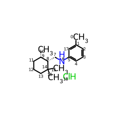 Cc1cccc(NC[C@H]2[C@@H](C)CCCC2(C)C)c1.Cl